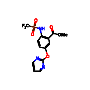 COC(=O)c1cc(Oc2ncccn2)ccc1NS(=O)(=O)C(F)(F)F